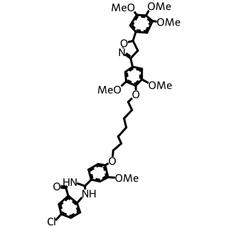 COc1cc(C2NC(=O)c3cc(Cl)ccc3N2)ccc1OCCCCCCCOc1c(OC)cc(C2=NOC(c3cc(OC)c(OC)c(OC)c3)C2)cc1OC